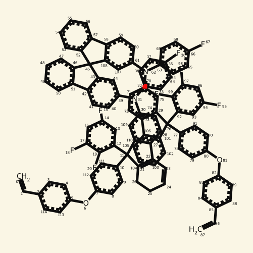 C=Cc1ccc(Oc2ccc(C3(c4cc(F)cc(F)c4F)C4=C(C=CCC4)c4ccc(N(c5ccc(F)cc5)c5ccc6c(c5)C5(c7ccccc7-6)c6ccccc6-c6ccc(N(c7ccc(F)cc7)c7ccc8c(c7)C(c7ccc(Oc9ccc(C=C)cc9)cc7)(c7cc(F)cc(F)c7F)c7ccccc7-8)cc65)cc43)cc2)cc1